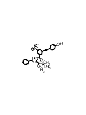 CC(C)(C)OC(=O)[C@H](CCc1ccccc1)NC(=O)c1cc(C#Cc2ccc(O)cc2)cc([N+](=O)[O-])c1